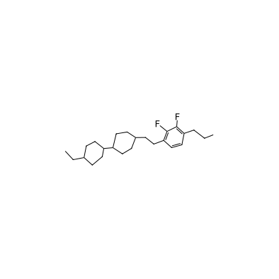 CCCc1ccc(CCC2CCC(C3CCC(CC)CC3)CC2)c(F)c1F